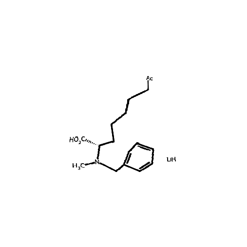 CC(=O)CCCCC[C@@H](C(=O)O)N(C)Cc1ccccc1.[LiH]